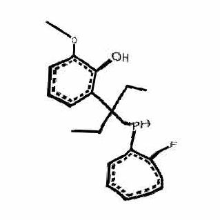 CCC(CC)(Pc1ccccc1F)c1cccc(OC)c1O